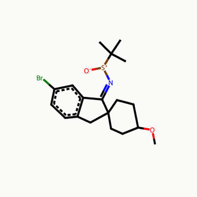 COC1CCC2(CC1)Cc1ccc(Br)cc1C2=N[S+]([O-])C(C)(C)C